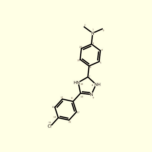 CN(C)c1ccc(C2NN=C(c3ccc(Cl)cc3)N2)cc1